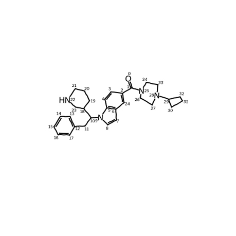 O=C(c1ccc2c(ccn2C(Cc2ccccc2)C2CCCNC2)c1)N1CCN(C2CCC2)CC1